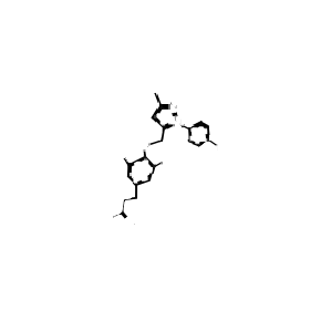 Cc1cc(COc2c(F)cc(CCC(=O)O)cc2F)n(-c2ccc(F)cc2)n1